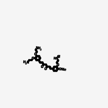 COc1ccc(/C=C/C(=O)CC(=O)/C=C/c2ccc(OCCN)c(OCCN)c2)cc1OCCNCl